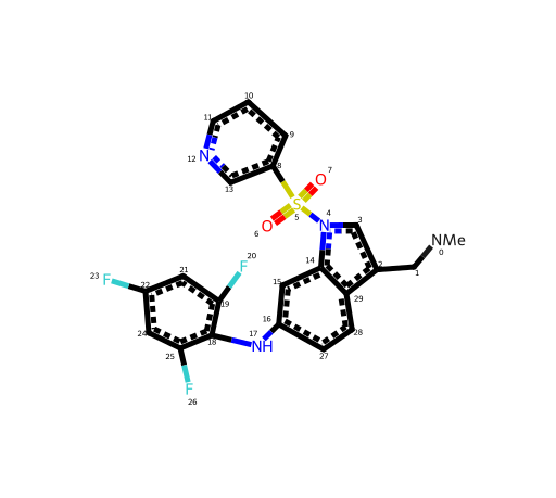 CNCc1cn(S(=O)(=O)c2cccnc2)c2cc(Nc3c(F)cc(F)cc3F)ccc12